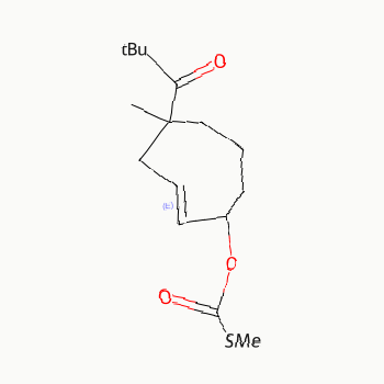 CSC(=O)OC1/C=C/CC(C)(C(=O)C(C)(C)C)CCC1